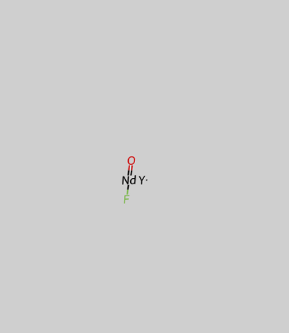 [O]=[Nd][F].[Y]